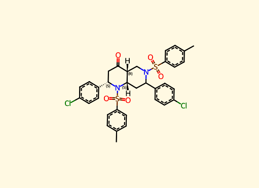 Cc1ccc(S(=O)(=O)N2C[C@H]3C(=O)C[C@@H](c4ccc(Cl)cc4)N(S(=O)(=O)c4ccc(C)cc4)[C@H]3CC2c2ccc(Cl)cc2)cc1